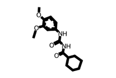 COc1ccc(NC(=O)NC(=O)C2CCCCC2)cc1OC